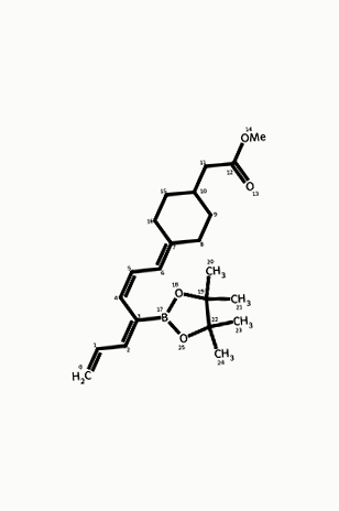 C=C/C=C(\C=C/C=C1CCC(CC(=O)OC)CC1)B1OC(C)(C)C(C)(C)O1